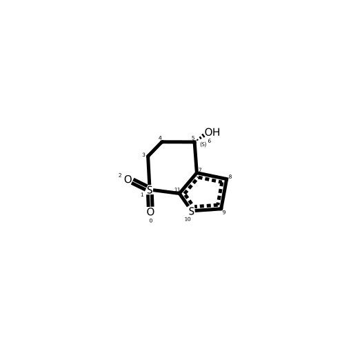 O=S1(=O)CC[C@H](O)c2ccsc21